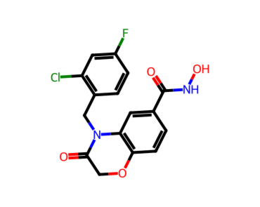 O=C(NO)c1ccc2c(c1)N(Cc1ccc(F)cc1Cl)C(=O)CO2